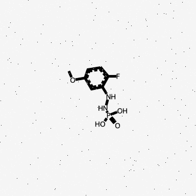 COc1ccc(F)c(NNP(=O)(O)O)c1